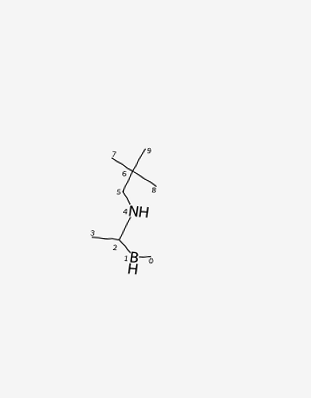 CBC(C)NCC(C)(C)C